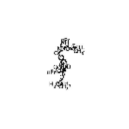 CCCNCc1nc(C(=O)N2CCC3(CC2)CCN(C(=O)c2cn(COCC[Si](C)(C)C)c(CN(CCC)C(=O)OC(C)(C)C)n2)CC3)cn1COCC[Si](C)(C)C